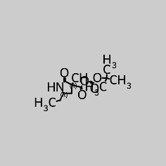 CC[C@@H]1C[C@@](C)(C(=O)OC(=O)OC(C)(C)C)C(=O)N1